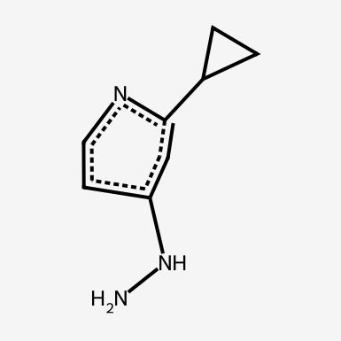 NNc1ccnc(C2CC2)c1